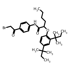 CCCCC(Oc1ccc(C(C)(C)CC)cc1C(C)(C)CC)C(=O)Nc1ccc(C(=O)CBr)cc1